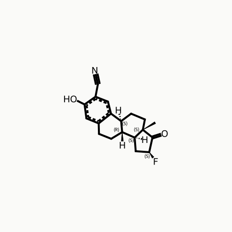 C[C@]12CC[C@@H]3c4cc(C#N)c(O)cc4CC[C@H]3[C@@H]1C[C@H](F)C2=O